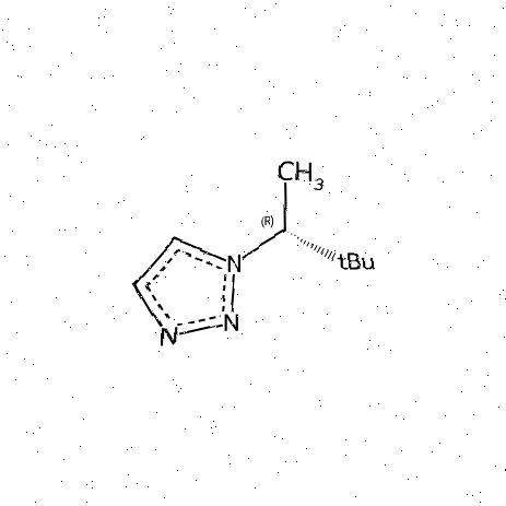 C[C@@H](n1ccnn1)C(C)(C)C